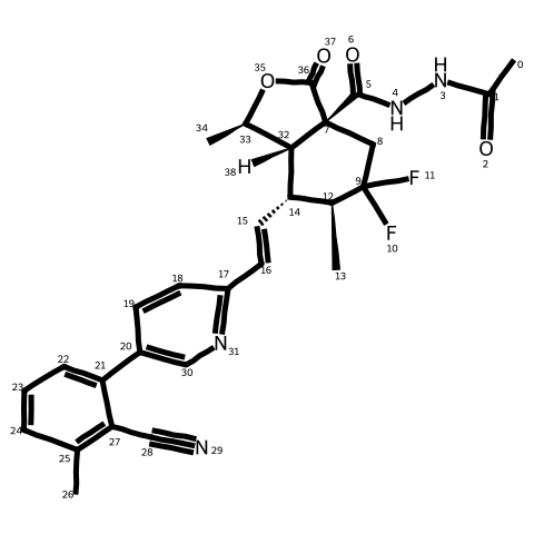 CC(=O)NNC(=O)[C@@]12CC(F)(F)[C@@H](C)[C@H](/C=C/c3ccc(-c4cccc(C)c4C#N)cn3)[C@@H]1[C@@H](C)OC2=O